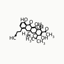 C#CCCc1ccc(O)c2c1C[C@]1(C)C[C@]3(C)C(C(C)C)C(O)=C(C(C)=O)C(=O)[C@]3(O)C(O)=C1C2=O